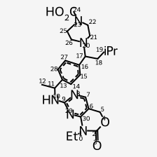 CCN1C(=O)OCc2cnc(NC(C)c3ccc(C(CC(C)C)N4CCN(C(=O)O)CC4)cc3)nc21